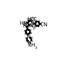 Cc1cc(C#N)cc(F)c1-n1nc2c(-c3ccc(N4CCN(C)CC4)cc3)n[nH]c2cc1=O